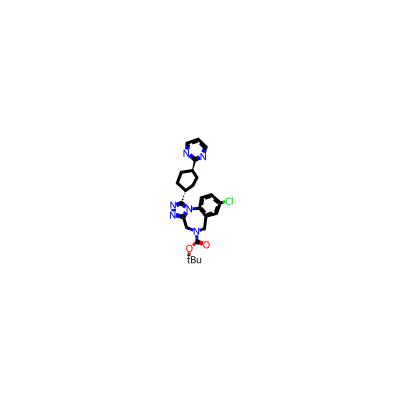 CC(C)(C)OC(=O)N1Cc2cc(Cl)ccc2-n2c(nnc2[C@H]2CC[C@H](c3ncccn3)CC2)C1